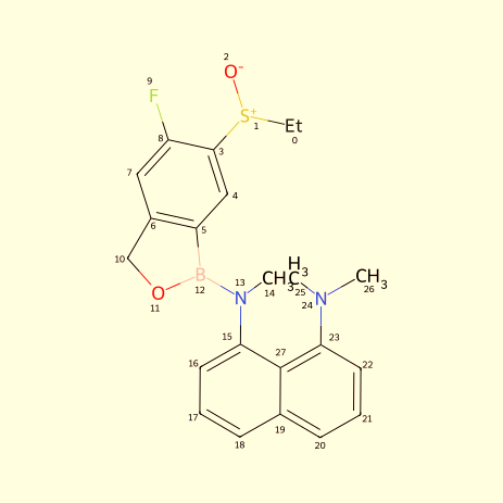 CC[S+]([O-])c1cc2c(cc1F)COB2N(C)c1cccc2cccc(N(C)C)c12